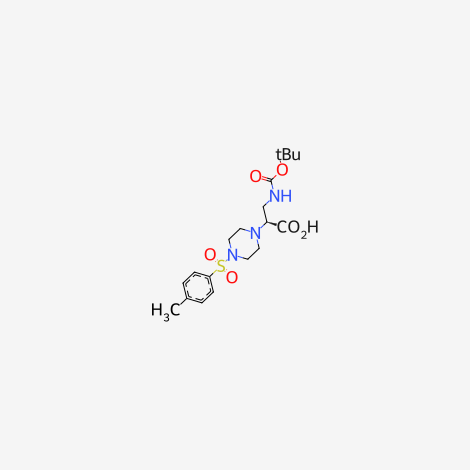 Cc1ccc(S(=O)(=O)N2CCN([C@@H](CNC(=O)OC(C)(C)C)C(=O)O)CC2)cc1